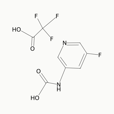 O=C(O)C(F)(F)F.O=C(O)Nc1cncc(F)c1